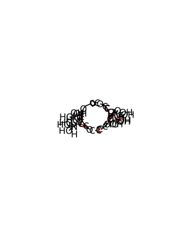 O=C(NC(CO)(CO)CO)C1C2c3ccc4cc3C(c3ccc(cc32)OCc2ccc(cc2)COc2ccc3c(c2)C2c5ccc(cc5C3C(C(=O)NC(CO)(CO)CO)C2C(=O)NC(CO)(CO)CO)OCc2ccc(cc2)CO4)C1C(=O)NC(CO)(CO)CO